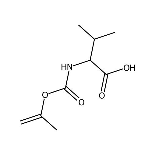 C=C(C)OC(=O)NC(C(=O)O)C(C)C